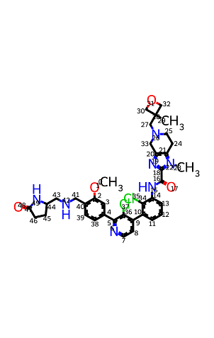 COc1cc(-c2nccc(-c3cccc(NC(=O)c4nc5c(n4C)CCN(CC4(C)COC4)C5)c3Cl)c2Cl)ccc1CNCC1CCC(=O)N1